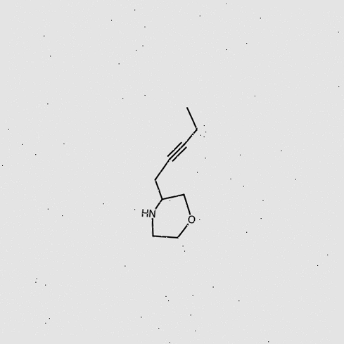 CCC#CCC1COCCN1